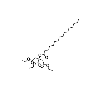 CCCCCCCCCCCCCCCC(=O)OC(CC(=O)OCC)(CC(=O)OCC)C(=O)OCC